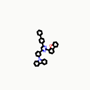 c1ccc(-c2ccc(-c3cc(-c4cccc(-n5c6ccccc6c6ccccc65)c4)nc(-c4cccc5c4oc4ccccc45)n3)cc2)cc1